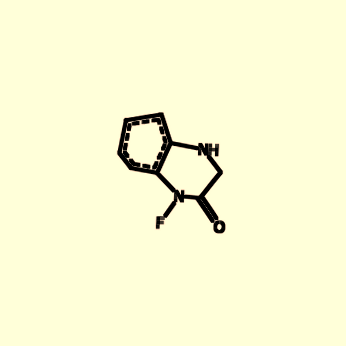 O=C1CNc2ccccc2N1F